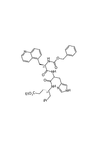 CCOC(=O)CC[C@@H](CC(C)C)NC(=O)C(Cc1c[nH]cn1)NC(=O)[C@@H](Cc1cccc2ncccc12)NC(=O)OCc1ccccc1